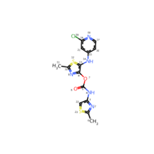 Cc1nc(NC(=O)Oc2nc(C)sc2Nc2ccnc(Cl)c2)cs1